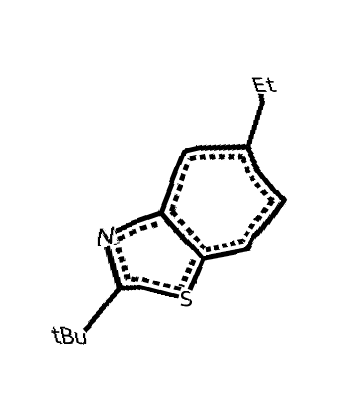 CCc1ccc2sc(C(C)(C)C)nc2c1